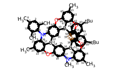 Cc1cc(C)c(N2c3cc4c(cc3B3c5cc6c(cc5Oc5cc(C)cc2c53)N(C)c2cc(C)cc3c2B6c2sc5ccc(C(C)(C)C)cc5c2O3)B2c3sc5ccc(C(C)(C)C)cc5c3Oc3cc(C)cc(c32)O4)c(C)c1